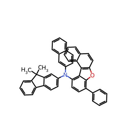 CC1(C)c2ccccc2-c2ccc(N(c3ccc4ccccc4c3)c3ccc(-c4ccccc4)c4oc5ccc6ccccc6c5c34)cc21